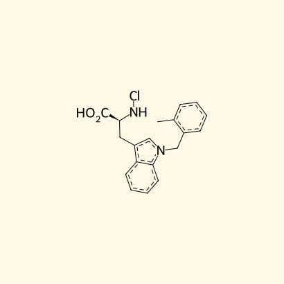 Cc1ccccc1Cn1cc(C[C@H](NCl)C(=O)O)c2ccccc21